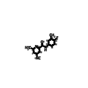 [C-]#[N+]c1cc(C)nc(C(=O)Nc2ccc(F)c(C)c2)c1